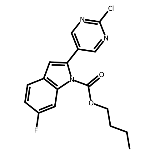 CCCCOC(=O)n1c(-c2cnc(Cl)nc2)cc2ccc(F)cc21